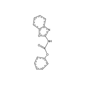 O=C(Nc1nc2ccccc2o1)Oc1ccccc1